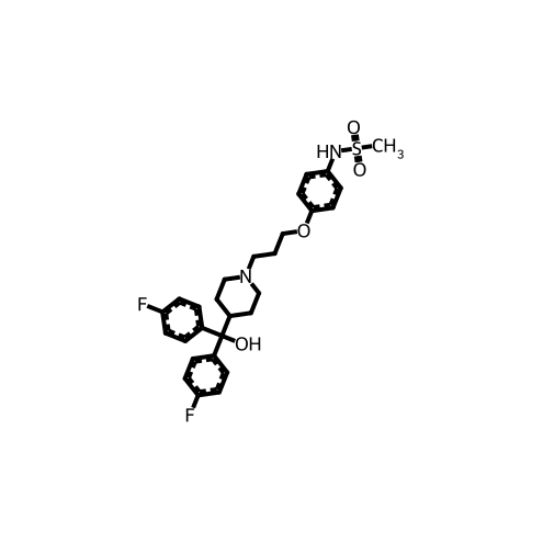 CS(=O)(=O)Nc1ccc(OCCCN2CCC(C(O)(c3ccc(F)cc3)c3ccc(F)cc3)CC2)cc1